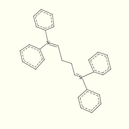 C(CCC=[Si](c1ccccc1)c1ccccc1)=[Si](c1ccccc1)c1ccccc1